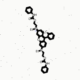 CCN(CCOC(=O)Nc1ccccc1)c1ccc2c(-c3ccccc3C)c3cc/c(=[N+](/CC)CCOC(=O)Nc4ccccc4)cc-3oc2c1